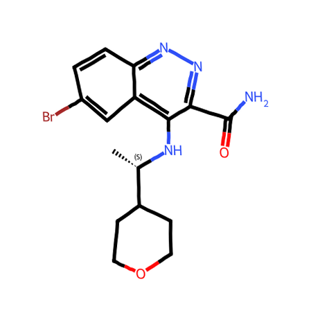 C[C@H](Nc1c(C(N)=O)nnc2ccc(Br)cc12)C1CCOCC1